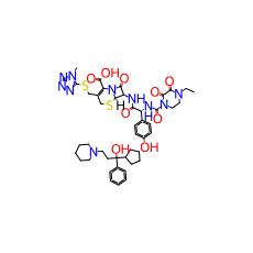 CCN1CCN(C(=O)N[C@@H](C(=O)N[C@@H]2C(=O)N3C(C(=O)O)=C(CSc4nnnn4C)CS[C@H]23)c2ccc(O)cc2)C(=O)C1=O.OC(CCN1CCCCC1)(c1ccccc1)C1CCCC1